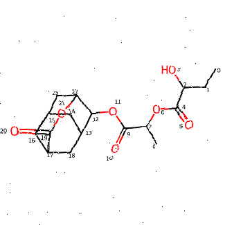 CCC(O)C(=O)OC(C)C(=O)OC1C2CC3CC(C2)C(=O)OC1C3